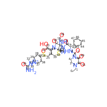 CCN1CCN(C(=O)N[C@@H](C(=O)N[C@]2(NC=O)C(=O)N3C(C(=O)O)=C(CSc4cc[n+]([N+](C)(C)C(N)=O)cc4)CS[C@@H]32)c2ccccc2)C(=O)C1=O